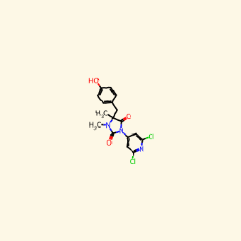 CN1C(=O)N(c2cc(Cl)nc(Cl)c2)C(=O)C1(C)Cc1ccc(O)cc1